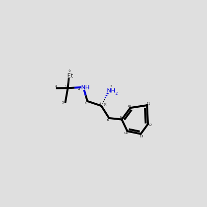 CCC(C)(C)NC[C@H](N)Cc1ccccc1